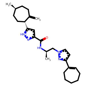 C=C1CC[C@H](C)CC[C@H]1c1cc(C(=O)N[C@H](C)Cn2ccc(C3=CCCCCC3)n2)n[nH]1